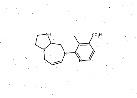 Cc1c(C(=O)O)ccnc1N1C=CCN2CCNC2C1